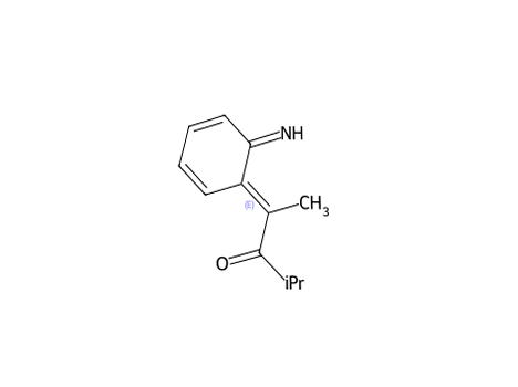 C/C(C(=O)C(C)C)=C1/C=CC=CC1=N